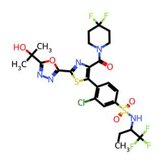 CCC(NS(=O)(=O)c1ccc(-c2sc(-c3nnc(C(C)(C)O)o3)nc2C(=O)N2CCC(F)(F)CC2)c(Cl)c1)C(F)(F)F